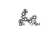 CC(C(=O)O)c1cccc(Oc2ccccc2)c1.CC1=C(CC(=O)O)c2cc(F)ccc2/C1=C\c1ccc([S+](C)[O-])cc1